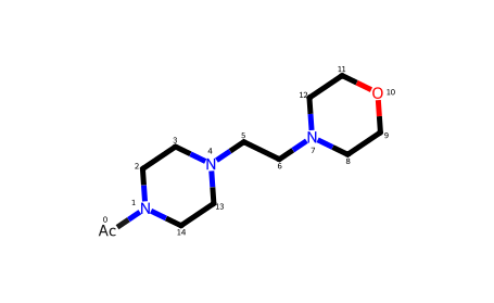 CC(=O)N1CCN(CCN2CCOCC2)CC1